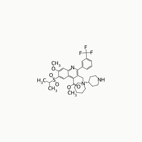 COC(=O)c1c(C[N+]2(C3CCNCC3)CCCCC2)c(-c2cccc(C(F)(F)F)c2)nc2cc(OC)c(S(=O)(=O)C(C)C)cc12